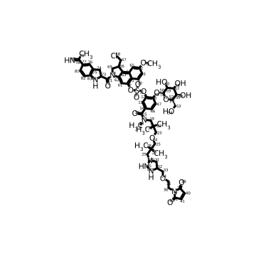 COc1ccc2c(OS(=O)(=O)Oc3cc(C(=O)N(C)CC(C)(C)COCC(C)(C)CN4CC(COCCN5C(=O)C=CC5=O)NN4)ccc3O[C@@H]3O[C@H](CO)[C@H](O)C(O)C3O)cc3c(c2c1)C(CCl)CN3C(=O)C1Cc2cc(C(C)=N)ccc2N1